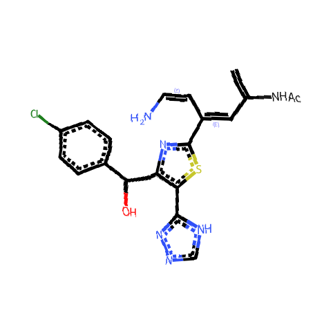 C=C(/C=C(\C=C/N)c1nc(C(O)c2ccc(Cl)cc2)c(-c2nnc[nH]2)s1)NC(C)=O